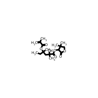 C=C(C)C(=O)OC(C)(CC)CC(C)(C)C(=O)OC1C(=O)OCC1(C)C